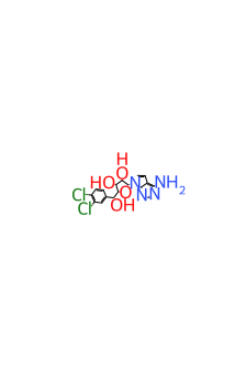 Nc1ncnc2c1ccn2[C@@H]1OC(C(O)c2ccc(Cl)c(Cl)c2)[C@@H](O)[C@H]1O